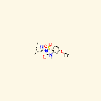 Cc1cc(C)nc(N2C(=O)N(C)c3cc(OC(C)C)ccc3S2(=O)=O)c1